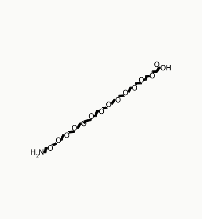 NCCOCCOCCOCCOCCOCCOCCOCCOCCOCCOCCOCCOCCOCCC(=O)O